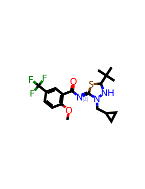 COc1ccc(C(F)(F)F)cc1C(=O)/N=C1\SC(C(C)(C)C)NN1CC1CC1